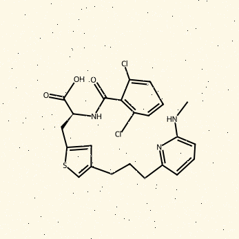 CNc1cccc(CCCc2csc(C[C@H](NC(=O)c3c(Cl)cccc3Cl)C(=O)O)c2)n1